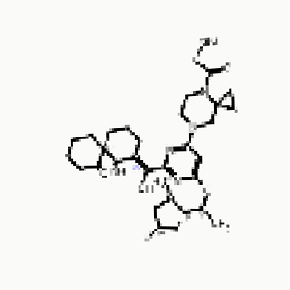 C[C@H](Oc1cc(N2CCN(C(=O)OC(C)(C)C)C3(CC3)C2)nc(/C(O)=C2\CCC[C@@]3(CCCCC3=O)C2=N)n1)[C@@H]1C[C@@H](F)CN1C